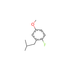 COc1ccc(F)c(CC(C)C)c1